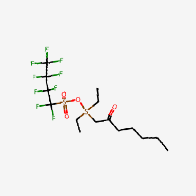 CCCCCC(=O)CS(CC)(CC)OS(=O)(=O)C(F)(F)C(F)(F)C(F)(F)C(F)(F)F